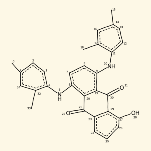 Cc1ccc(Nc2ccc(Nc3ccc(C)cc3C)c3c2C(=O)c2cccc(O)c2C3=O)c(C)c1